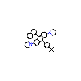 CC(C)(C)c1ccc(-c2c3cc(N4CCCCC4)ccc3c(-c3cccc4ccccc34)c3cc(N4CCCCC4)ccc23)cc1